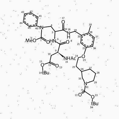 COC(=O)N(CC(NC(=O)[C@H](CC(=O)OC(C)(C)C)NC(C)=O)C(=O)NCc1cc(OCCC2CCCN(C(=O)OC(C)(C)C)C2)ccc1C)c1ccccc1